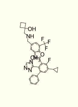 Cn1cnnc1-c1c(-c2ccccc2)cc(C2CC2)c(F)c1-c1nc2cc(CNCC3(O)CCC3)cc(C(F)(F)F)c2o1